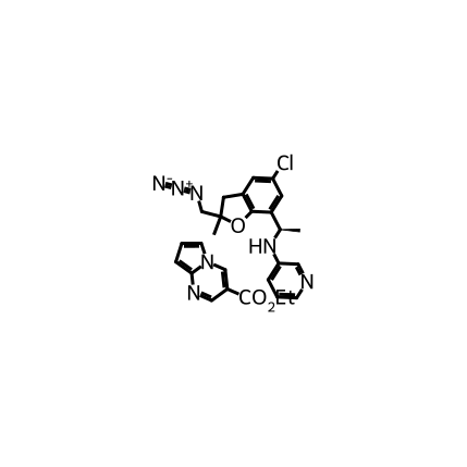 CCOC(=O)c1cnc2cccn2c1.C[C@@H](Nc1cccnc1)c1cc(Cl)cc2c1OC(C)(CN=[N+]=[N-])C2